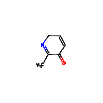 CC1=NCC=CC1=O